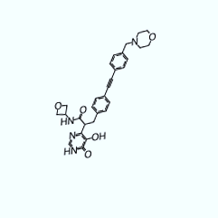 O=C(NC1COC1)C(Cc1ccc(C#Cc2ccc(CN3CCOCC3)cc2)cc1)c1nc[nH]c(=O)c1O